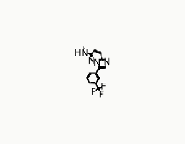 CNc1ccc2ncc(-c3cccc(C(F)(F)F)c3)n2n1